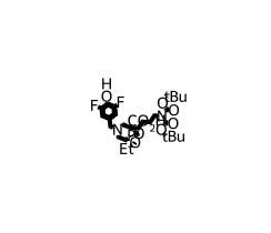 CCOP1(=O)CCN(Cc2cc(F)c(O)c(F)c2)CC1(CCCCN(C(=O)OC(C)(C)C)C(=O)OC(C)(C)C)C(=O)O